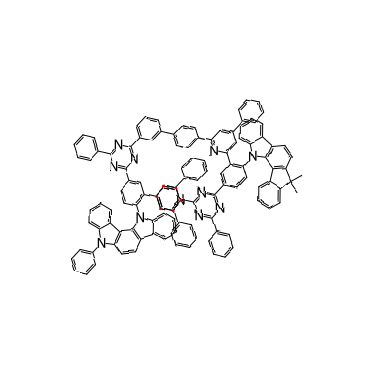 CC1(C)c2ccccc2-c2c1ccc1c3ccccc3n(-c3ccc(-c4nc(-c5ccccc5)nc(-c5ccccc5)n4)cc3-c3cc(-c4ccccc4)cc(-c4ccc(-c5cccc(-c6nc(-c7ccccc7)nc(-c7ccc(-n8c9ccccc9c9ccc%10c(c%11ccccc%11n%10-c%10ccccc%10)c98)c(-c8cc(-c9ccccc9)nc(-c9ccccc9)c8)c7)n6)c5)cc4)n3)c21